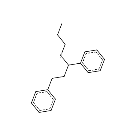 CCCSC(CCc1ccccc1)c1ccccc1